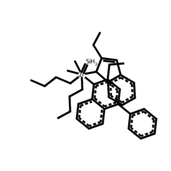 CCC[CH2][Zr]([CH3])([CH3])(=[SiH2])([CH2]CCC)([c]1c(CC)cc(-c2ccccc2)c2ccccc12)[CH]1C(CC)=Cc2ccccc21